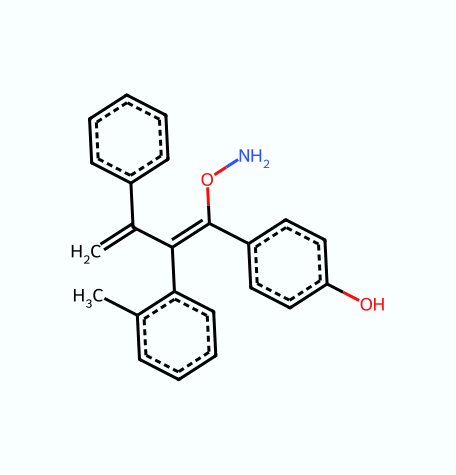 C=C(/C(=C(\ON)c1ccc(O)cc1)c1ccccc1C)c1ccccc1